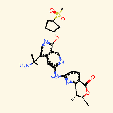 C[C@@H]1OC(=O)c2ccc(Nc3cc4c(C(C)(C)N)cnc(O[C@@H]5CC[C@@H](S(C)(=O)=O)C5)c4cn3)nc2[C@H]1C